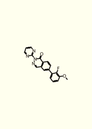 COc1cccc(-c2ccc3c(=O)n(-c4ncccn4)ncc3c2)c1F